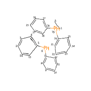 CC.c1ccc(Pc2ccccc2)cc1.c1ccc(Pc2ccccc2)cc1